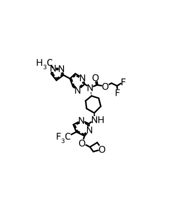 Cn1ccc(-c2cnc(N(C(=O)OCC(F)F)[C@H]3CC[C@H](Nc4ncc(C(F)(F)F)c(OC5COC5)n4)CC3)nc2)n1